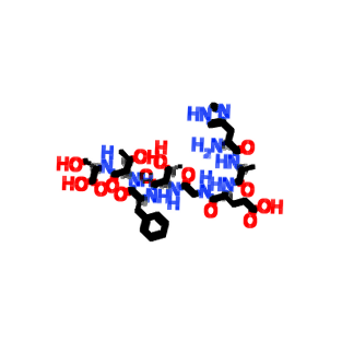 C[C@H](NC(=O)[C@@H](N)Cc1c[nH]cn1)C(=O)N[C@@H](CCC(=O)O)C(=O)NCC(=O)N[C@H](C(=O)N[C@@H](Cc1ccccc1)C(=O)N[C@H](C(=O)N[C@@H](CO)C(=O)O)[C@@H](C)O)[C@@H](C)O